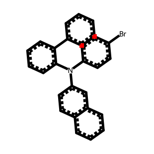 Brc1ccc(N(c2ccc3ccccc3c2)c2ccccc2-c2ccccc2)cc1